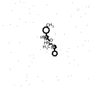 C[C@H]1CCCCC(c2cc(C(=O)N[C@H](C)Cn3ccc(C4CCCCCC4)n3)n[nH]2)CCC1